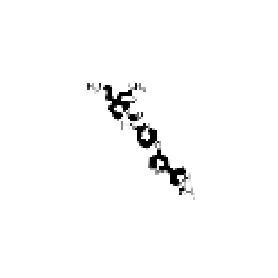 CCCC1(CCC)CCN(C(=O)Nc2ccc(Oc3ccnc(-c4cnn(C)c4)c3)cn2)C1=O